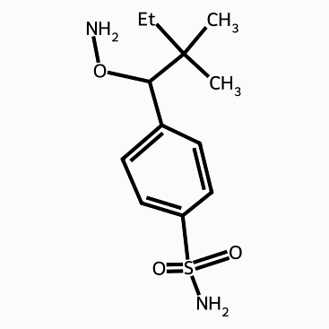 CCC(C)(C)C(ON)c1ccc(S(N)(=O)=O)cc1